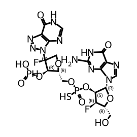 Nc1nc2c(ncn2[C@@H]2O[C@H](CO)[C@@H](F)[C@H]2OP(=O)(S)OC[C@H]2OC[C@@](F)(n3nnc4c(=O)[nH]cnc43)[C@@H]2O[PH](=O)O)c(=O)[nH]1